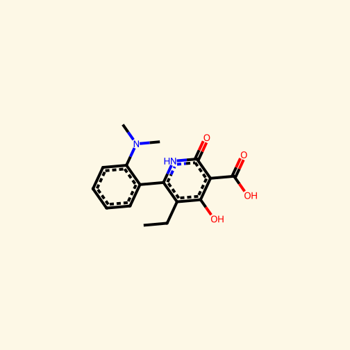 CCc1c(-c2ccccc2N(C)C)[nH]c(=O)c(C(=O)O)c1O